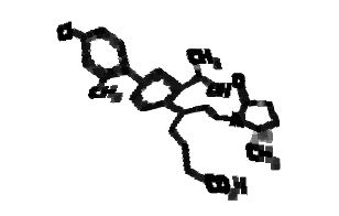 Cc1cc(Cl)ccc1-c1ccc(C(CCCC(=O)O)CCN2C(=O)CC[C@@H]2C)c(C(C)O)c1